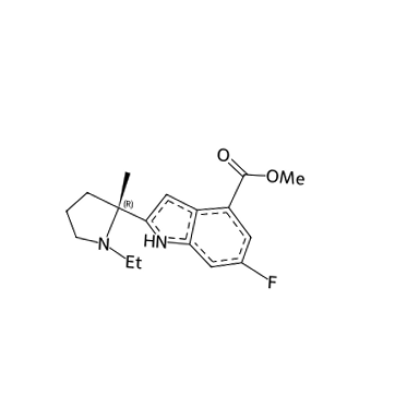 CCN1CCC[C@]1(C)c1cc2c(C(=O)OC)cc(F)cc2[nH]1